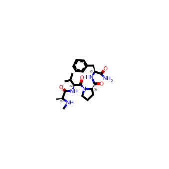 CN[C@@H](C)C(=O)N[C@H](C(=O)N1CCC[C@H]1C(=O)N[C@@H](Cc1ccccc1)C(N)=O)C(C)C